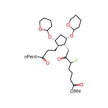 CCCCCC(=O)CC[C@@H]1[C@@H](CC(=O)C(F)CCCC(=O)OC)[C@@H](OC2CCCCO2)C[C@H]1OC1CCCCO1